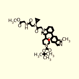 COC(=O)CNC(=O)CN(C(=O)Cn1nc(C2CCN(C(=O)OC(C)(C)C)CC2)c2c(-c3cc4c(cnn4C)cc3F)cccc21)C1CC1